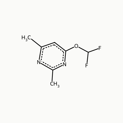 Cc1cc(OC(F)F)nc(C)n1